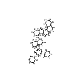 c1ccc(-c2nc(-c3ccccc3)nc(-c3cccc4c(-c5cccc6sc7c(ccc8ccc9ccccc9c87)c56)cccc34)n2)cc1